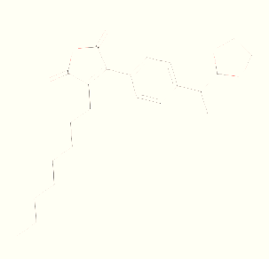 CCCCCCCCC1=C(c2ccc(C(C)C3OCCO3)cc2)C(=O)OC1=O